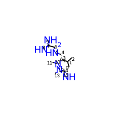 CC(C)[C@@H](CNCC(=N)N)N(C)N(C)C=N